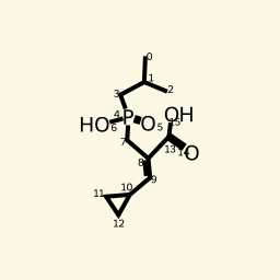 CC(C)CP(=O)(O)C/C(=C\C1CC1)C(=O)O